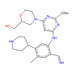 COc1nc(Nc2cc(C3CCNCC3)c(C)cc2C=N)cc(N2CCOC(CO)C2)n1